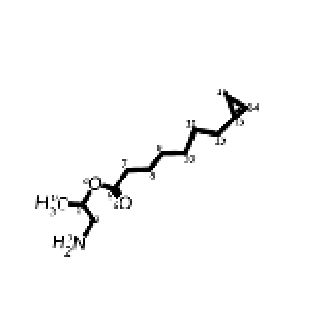 CC(CN)OC(=O)CCCCCCC1=CC1